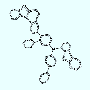 c1ccc(-c2ccc(N(c3ccc(-c4ccc5c(ccc6oc7ccccc7c65)c4)c(-c4ccccc4)c3)c3cccc4c3sc3ccccc34)cc2)cc1